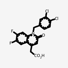 O=C(O)Cc1cc(=O)n(Cc2ccc(Cl)c(Cl)c2)c2cc(F)c(F)cc12